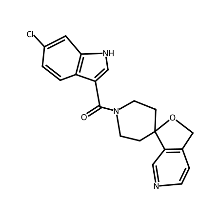 O=C(c1c[nH]c2cc(Cl)ccc12)N1CCC2(CC1)OCc1ccncc12